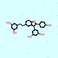 Oc1ccc(-c2oc3ccc(CCc4cc(O)cc(O)c4)cc3c2-c2cc(O)cc(O)c2)cc1